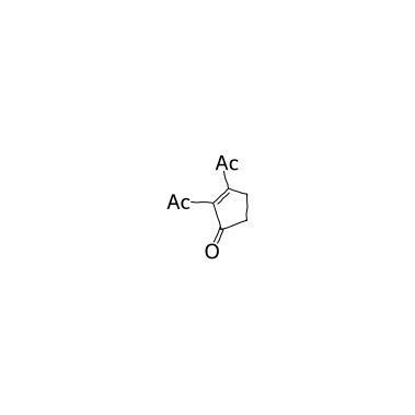 CC(=O)C1=C(C(C)=O)C(=O)CC1